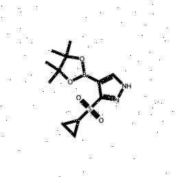 CC1(C)OB(c2c[nH]nc2S(=O)(=O)C2CC2)OC1(C)C